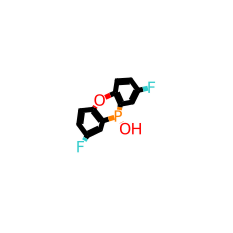 OP1c2cc(F)ccc2Oc2ccc(F)cc21